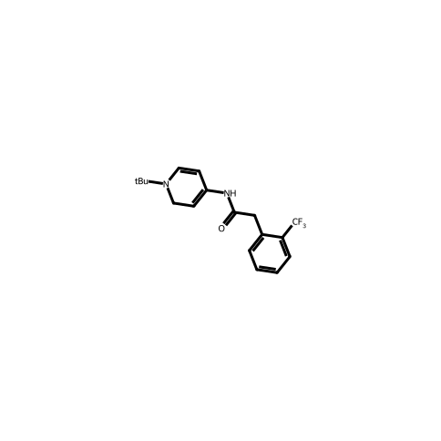 CC(C)(C)N1C=CC(NC(=O)Cc2ccccc2C(F)(F)F)=CC1